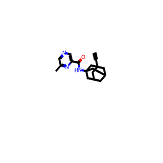 C#CC12CC3CC(C1)CC(NC(=O)c1cncc(C)n1)(C3)C2